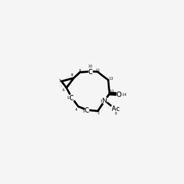 CC(=O)N1CCCCC2CC2CCCCC1=O